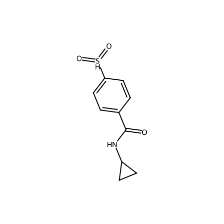 O=C(NC1CC1)c1ccc([SH](=O)=O)cc1